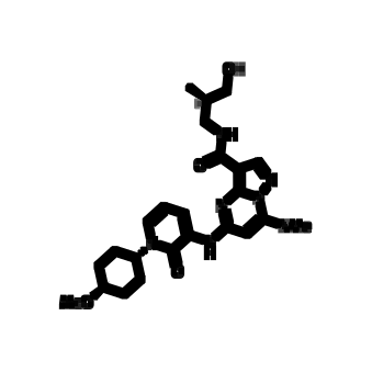 CNc1cc(Nc2cccn([C@H]3CC[C@H](OC)CC3)c2=O)nc2c(C(=O)NC[C@@H](C)CO)cnn12